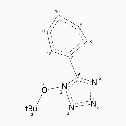 CC(C)(C)On1nnnc1-c1ccccc1